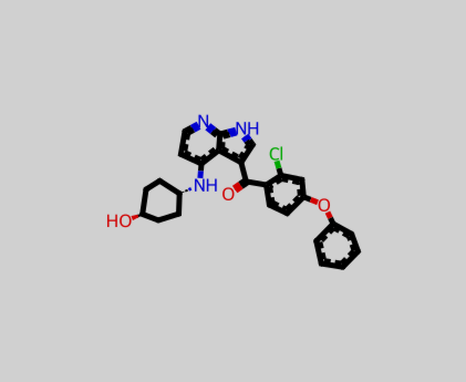 O=C(c1ccc(Oc2ccccc2)cc1Cl)c1c[nH]c2nccc(N[C@H]3CC[C@H](O)CC3)c12